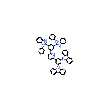 c1ccc(-n2c(-c3cc(-c4cccc(-c5cc(-n6c7ccccc7c7ccccc76)cc(-n6c7ccccc7c7ccccc76)c5)n4)cc(-c4nc5ccccc5n4-c4ccccc4)c3)nc3ccccc32)cc1